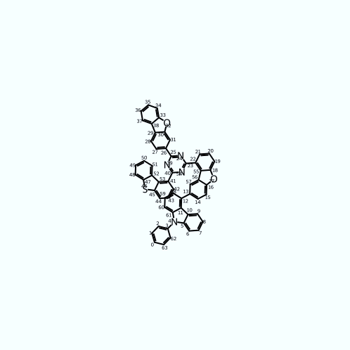 c1ccc(-n2c3ccccc3c3c(-c4ccc5oc6cccc(-c7nc(-c8ccc9c(c8)oc8ccccc89)nc(-c8cccc9sc%10ccccc%10c89)n7)c6c5c4)cccc32)cc1